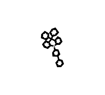 c1ccc(-c2ccc(N3c4ccccc4C(c4ccccc4)(c4ccccc4)c4ccccc43)cc2)cc1